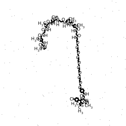 Cc1sc2c(c1C)C(c1ccc(Cl)cc1)=N[C@@H](CC(=O)Nc1ccc(OCCOCCOCCOCCOCCOCCOCCOCCOCCOCCNC(=O)CCNC(=O)c3cc(NC(=O)c4nc(NC(=O)CCNC(=O)c5cc(NC(=O)c6nc(NC(=O)CCNC(=O)c7cc(NC(=O)c8nccn8C)cn7C)cn6C)cn5C)cn4C)cn3C)cc1)c1nnc(C)n1-2